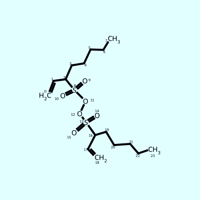 C=CC(CCCCC)S(=O)(=O)OOS(=O)(=O)C(C=C)CCCCC